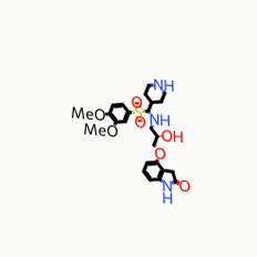 COc1ccc(S(=O)(=O)C(NC[C@H](O)COc2cccc3c2CC(=O)N3)C2CCNCC2)cc1OC